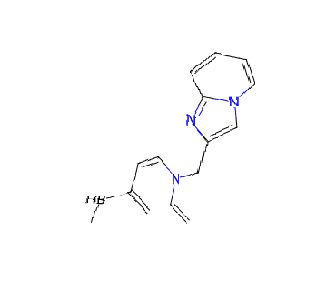 C=CN(/C=C\C(=C)BC)Cc1cn2ccccc2n1